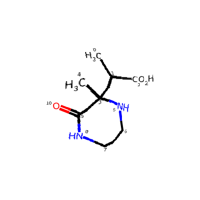 CC(C(=O)O)C1(C)NCCNC1=O